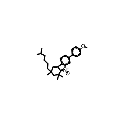 COc1ccc(-c2ccc3c(c2)[N+]([O-])=C2C3=CC(C)(CCCCC(C)C)CC2(C)C)cc1